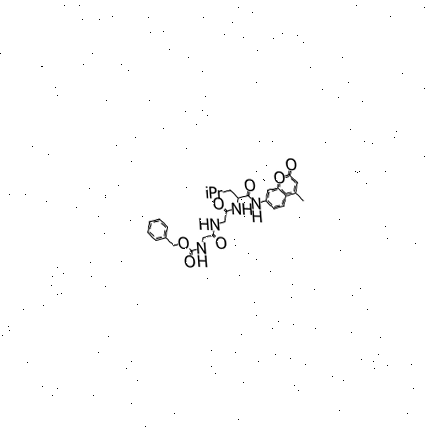 Cc1cc(=O)oc2cc(NC(=O)C(CC(C)C)NC(=O)CNC(=O)CNC(=O)OCc3ccccc3)ccc12